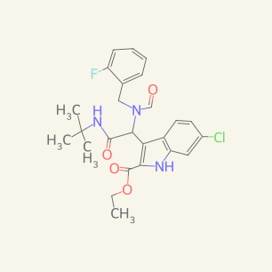 CCOC(=O)c1[nH]c2cc(Cl)ccc2c1C(C(=O)NC(C)(C)C)N(C=O)Cc1ccccc1F